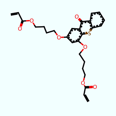 C=CC(=O)OCCCCOc1cc(OCCCCOC(=O)C=C)c2sc3ccccc3c(=O)c2c1